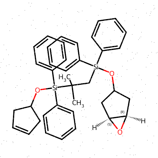 CC(C)(C[Si](OC1C[C@@H]2O[C@@H]2C1)(c1ccccc1)c1ccccc1)[Si](OC1CC=CC1)(c1ccccc1)c1ccccc1